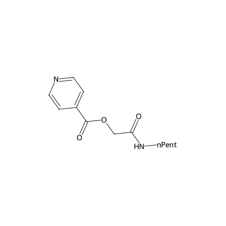 CCCCCNC(=O)COC(=O)c1ccncc1